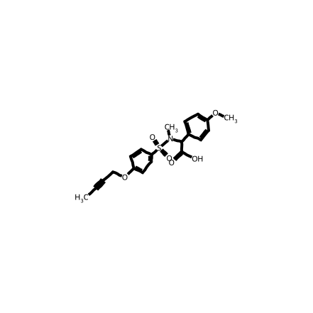 CC#CCOc1ccc(S(=O)(=O)N(C)C(C(=O)O)c2ccc(OC)cc2)cc1